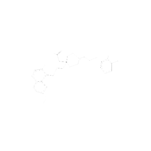 COc1ccc2ncc(Cl)c(CCCC3(CC(=O)O)CCN(CCCc4cccc(F)c4F)CC3)c2c1